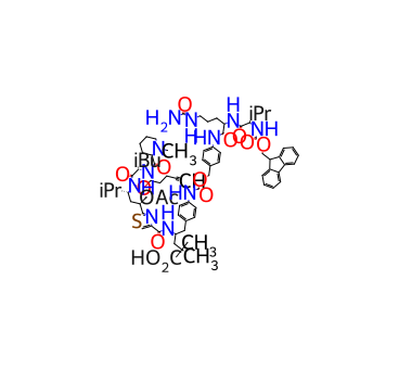 C#CCCCON(C(=O)[C@@H](NC(=O)C1CCCCN1C)[C@@H](C)CC)[C@H](C[C@@H](OC(C)=O)c1nc(C(=O)NC(Cc2ccc(NC(=O)OCc3ccc(NC(=O)C(CCCNC(N)=O)NC(=O)C(NC(=O)OCC4c5ccccc5-c5ccccc54)C(C)C)cc3)cc2)CC(C)(C)C(=O)O)cs1)C(C)C